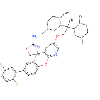 CC1CCC(C(C)C)C(C(C#N)(COc2cnc3c(c2)[C@]2(COC(N)=N2)c2cc(-c4cc(F)ccc4F)ccc2O3)C2CC(C)CCC2C(C)C)C1